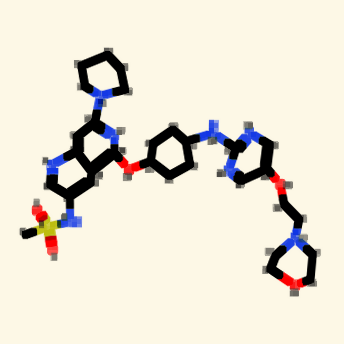 CS(=O)(=O)Nc1cnc2cc(N3CCCCC3)nc(OC3CCC(Nc4ncc(OCCN5CCOCC5)cn4)CC3)c2c1